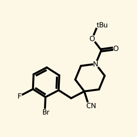 CC(C)(C)OC(=O)N1CCC(C#N)(Cc2cccc(F)c2Br)CC1